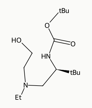 CCN(CCO)C[C@@H](NC(=O)OC(C)(C)C)C(C)(C)C